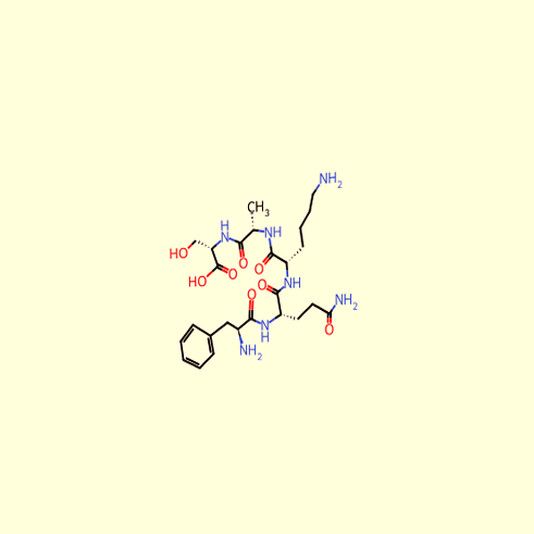 C[C@H](NC(=O)[C@H](CCCCN)NC(=O)[C@H](CCC(N)=O)NC(=O)[C@@H](N)Cc1ccccc1)C(=O)N[C@@H](CO)C(=O)O